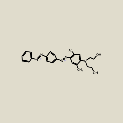 CC(=O)c1cc(N(CCO)CCO)c(C)cc1/N=N/c1ccc(/N=N/c2ccccc2)cc1